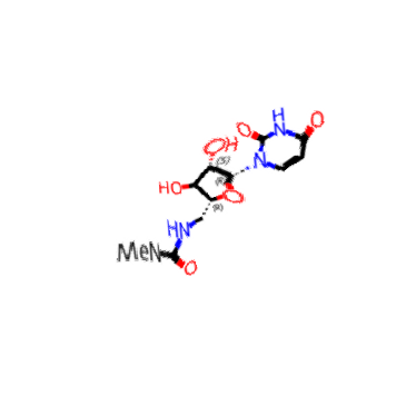 CNC(=O)NC[C@H]1O[C@@H](n2ccc(=O)[nH]c2=O)[C@@H](O)C1O